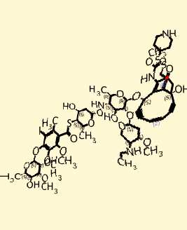 CCN[C@H]1CO[C@@H](O[C@H]2[C@H](O[C@H]3C#C/C=C\C#C[C@]4(O)CC(=O)C(NC(=O)OC)=C3/C4=C\CSSC3CCNCC3)O[C@H](C)[C@@H](NO[C@H]3C[C@H](O)[C@H](SC(=O)c4c(C)c(I)c(O[C@@H]5O[C@@H](C)[C@H](O)[C@@H](OC)[C@H]5O)c(OC)c4OC)[C@@H](C)O3)[C@@H]2O)C[C@@H]1OC